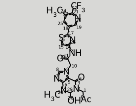 CC(=O)CN1C(=O)c2c(ncn2CC(=O)Nc2csc(-c3cnc(C(F)(F)F)c(C)c3)n2)N(C)C1O